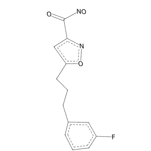 O=NC(=O)c1cc(CCCc2cccc(F)c2)on1